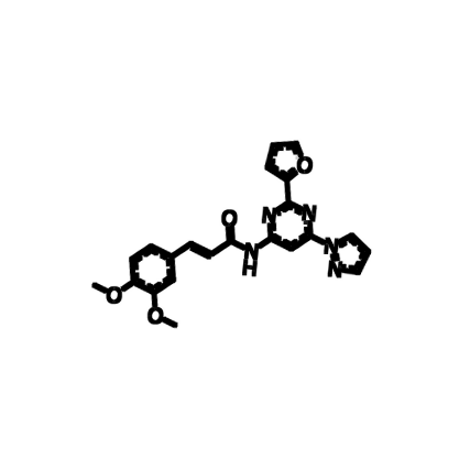 COc1ccc(C=CC(=O)Nc2cc(-n3cccn3)nc(-c3ccco3)n2)cc1OC